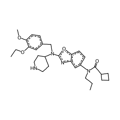 CCCN(C(=O)C1CCC1)c1ccc2oc(N(Cc3ccc(OC)c(OCC)c3)C3CCNCC3)nc2c1